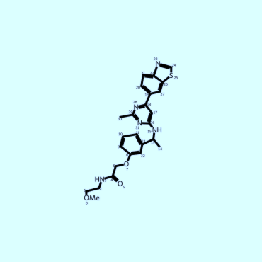 COCCNC(=O)COc1cccc(C(C)Nc2cc(-c3ccc4ncsc4c3)nc(C)n2)c1